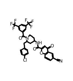 N#Cc1ccc2oc(C(=O)NC3CCN(C(=O)c4cc(C(F)(F)F)cc(C(F)(F)F)c4)C(Cc4ccc(Cl)cc4)C3)cc(=O)c2c1